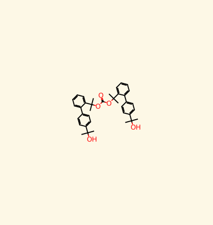 CC(C)(O)c1ccc(-c2ccccc2C(C)(C)OC(=O)OC(C)(C)c2ccccc2-c2ccc(C(C)(C)O)cc2)cc1